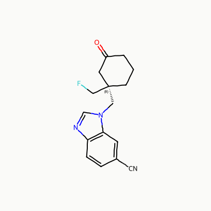 N#Cc1ccc2ncn(C[C@@]3(CF)CCCC(=O)C3)c2c1